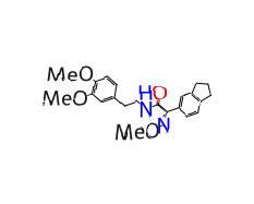 CO/N=C(\C(=O)NCCc1ccc(OC)c(OC)c1)c1ccc2c(c1)CCC2